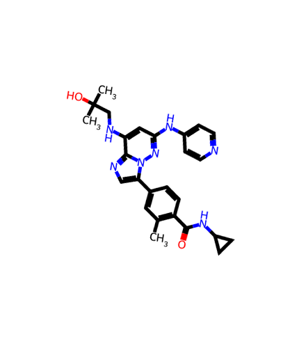 Cc1cc(-c2cnc3c(NCC(C)(C)O)cc(Nc4ccncc4)nn23)ccc1C(=O)NC1CC1